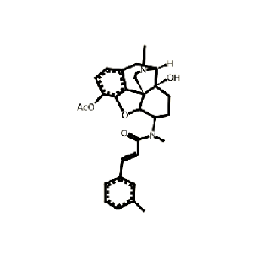 CC(=O)Oc1ccc2c3c1OC1C(N(C)C(=O)/C=C/c4cccc(C)c4)CC[C@@]4(O)[C@@H](C2)N(C)CC[C@]314